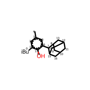 CCC(C)c1cc(C)cc(C2C3CC4CC(C3)CC2C4)c1O